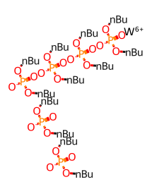 CCCCOP(=O)([O-])OCCCC.CCCCOP(=O)([O-])OCCCC.CCCCOP(=O)([O-])OCCCC.CCCCOP(=O)([O-])OCCCC.CCCCOP(=O)([O-])OCCCC.CCCCOP(=O)([O-])OCCCC.[W+6]